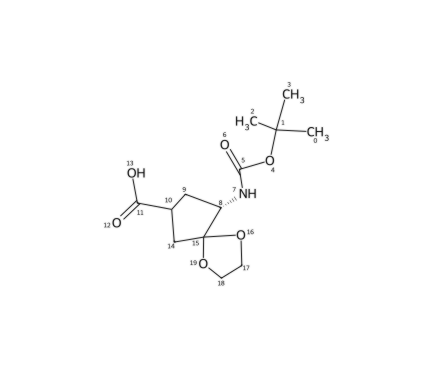 CC(C)(C)OC(=O)N[C@H]1CC(C(=O)O)CC12OCCO2